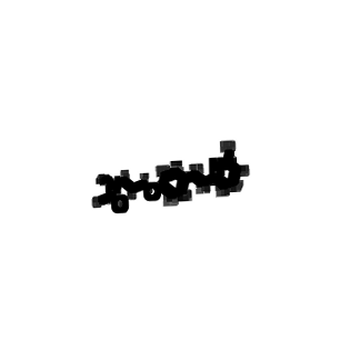 CC(=O)N(C)CCCOc1ccc(/C=C/c2cccc(C)n2)cc1